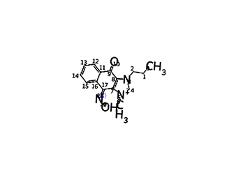 CCCn1c[n+](C)c2c1C(=O)c1ccccc1/C2=N/O